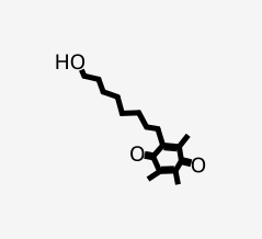 CC1=C(C)C(=O)C(CCCCCCCCO)=C(C)C1=O